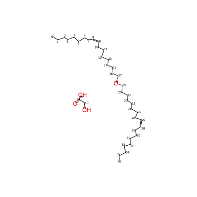 CCCCCCCC/C=C\CCCCCCCCOCCCCCCCC/C=C\CCCCCCCC.O=C(O)CO